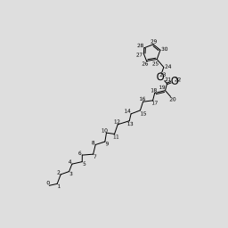 CCCCCCCCCCCCCCCCCCC=C(C)C(=O)OCc1ccccc1